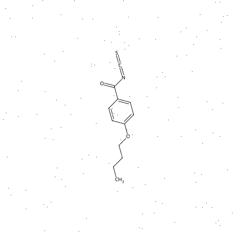 CCCCOc1ccc(C(=O)N=C=S)cc1